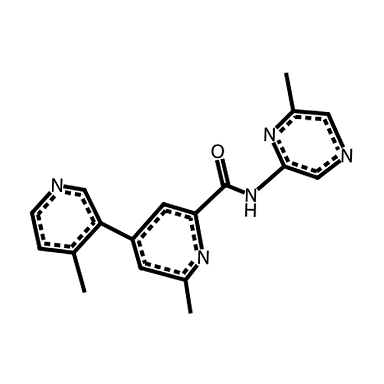 Cc1cncc(NC(=O)c2cc(-c3cnccc3C)cc(C)n2)n1